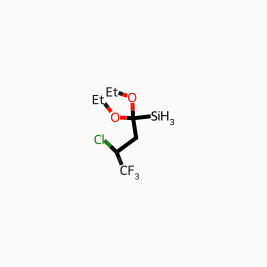 CCOC([SiH3])(CC(Cl)C(F)(F)F)OCC